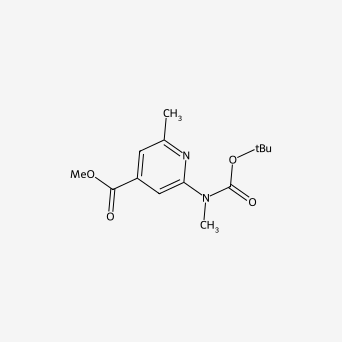 COC(=O)c1cc(C)nc(N(C)C(=O)OC(C)(C)C)c1